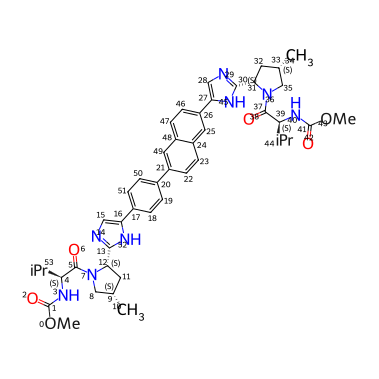 COC(=O)N[C@H](C(=O)N1C[C@@H](C)C[C@H]1c1ncc(-c2ccc(-c3ccc4cc(-c5cnc([C@@H]6C[C@H](C)CN6C(=O)[C@@H](NC(=O)OC)C(C)C)[nH]5)ccc4c3)cc2)[nH]1)C(C)C